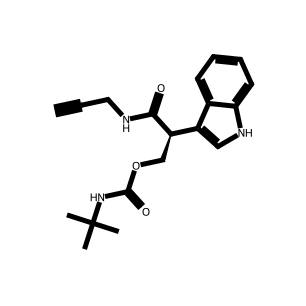 C#CCNC(=O)[C@H](COC(=O)NC(C)(C)C)c1c[nH]c2ccccc12